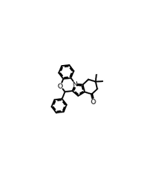 CC1(C)CC(=O)c2cc3n(c2C1)-c1ccccc1OC3c1ccccc1